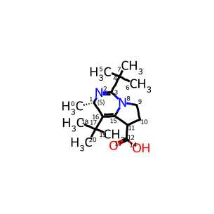 C[C@@H]1N=C(C(C)(C)C)N2CCC(C(=O)O)C2=C1C(C)(C)C